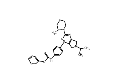 CC(C)N1Cc2nc(N3CCOC[C@@H]3C)nc(-c3ccc(NC(=O)Oc4ccccc4)cc3)c2C1